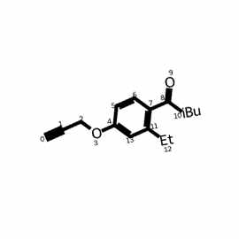 C#CCOc1ccc(C(=O)C(C)CC)c(CC)c1